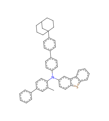 Cc1cc(-c2ccccc2)ccc1N(c1ccc(-c2ccc(C34CCCC(CCC3)C4)cc2)cc1)c1ccc2sc3ccccc3c2c1